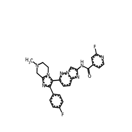 CN1CCn2c(nc(-c3ccc(F)cc3)c2-c2ccc3nc(NC(=O)c4ccnc(F)c4)cn3n2)C1